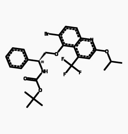 CC(C)Oc1cc(C(F)(F)F)c2c(OC[C@H](NC(=O)OC(C)(C)C)c3ccccc3)c(Br)ccc2n1